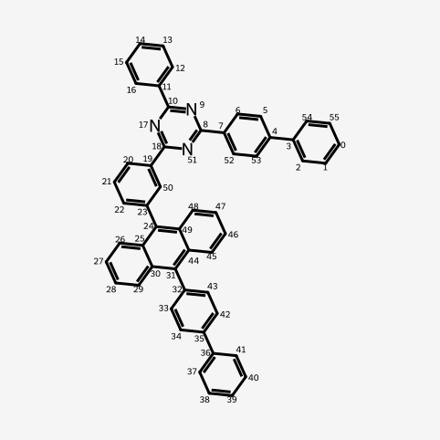 c1ccc(-c2ccc(-c3nc(-c4ccccc4)nc(-c4cccc(-c5c6ccccc6c(-c6ccc(-c7ccccc7)cc6)c6ccccc56)c4)n3)cc2)cc1